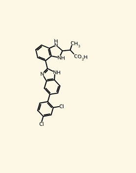 CC(C(=O)O)C1Nc2cccc(-c3nc4cc(-c5ccc(Cl)cc5Cl)ccc4[nH]3)c2N1